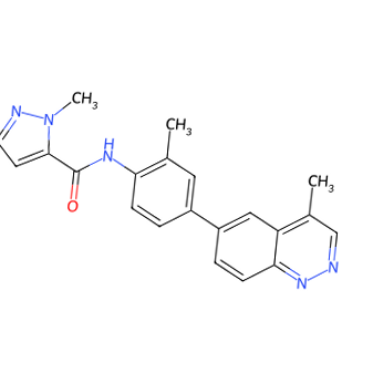 Cc1cc(-c2ccc3nncc(C)c3c2)ccc1NC(=O)c1ccnn1C